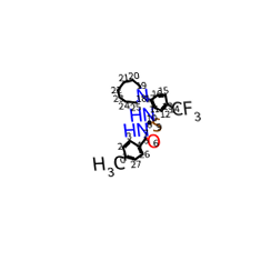 Cc1ccc(C(=O)NC(=S)Nc2cc(C(F)(F)F)ccc2N2CCCCCCC2)cc1